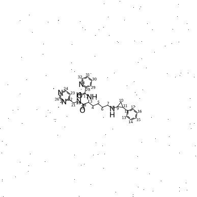 O=C(NC(CCCCNC1CC1c1ccccc1)C(=O)NCc1ccncn1)c1ccccn1